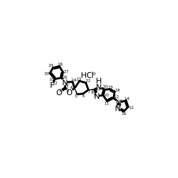 Cl.O=C1O[C@]2(CC[C@H](c3nc4cc(-n5cccn5)ccc4[nH]3)CC2)CN1c1ccccc1F